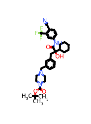 CC(C)(C)OC(=O)N1CCN(Cc2cccc(CC(O)(C(=O)Nc3ccc(C#N)c(C(F)(F)F)c3)C3CCCCC3)c2)CC1